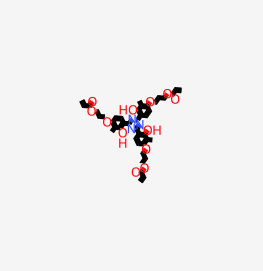 C=CC(=O)OCCCOc1ccc(-c2nc(-c3ccc(OCCCOC(=O)C=C)c(C)c3O)nc(-c3ccc(OCCCOC(=O)C=C)c(C)c3O)n2)c(O)c1C